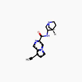 C#Cc1ccn2cc(C(=O)NC3CN4CC[C@H]3C4)ncc12